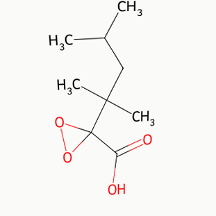 CC(C)CC(C)(C)C1(C(=O)O)OO1